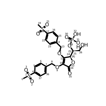 CS(=O)(=O)c1ccc(COC2=C(OCc3ccc(S(C)(=O)=O)cc3)[C@@H]([C@H](CO)OP(=O)(O)O)OC2=O)cc1